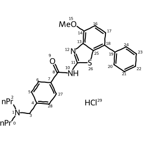 CCCN(CCC)Cc1ccc(C(=O)Nc2nc3c(OC)ccc(-c4ccccc4)c3s2)cc1.Cl